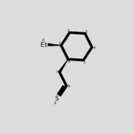 CC[C@H]1CCCC[C@H]1CC=S